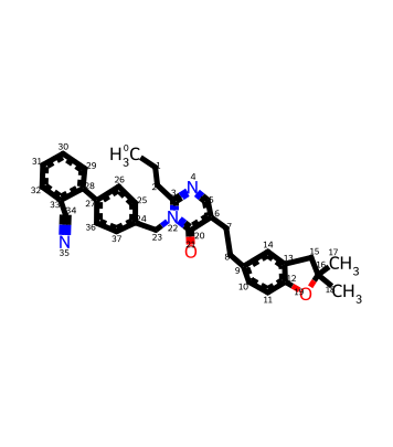 CCCc1ncc(CCc2ccc3c(c2)CC(C)(C)O3)c(=O)n1Cc1ccc(-c2ccccc2C#N)cc1